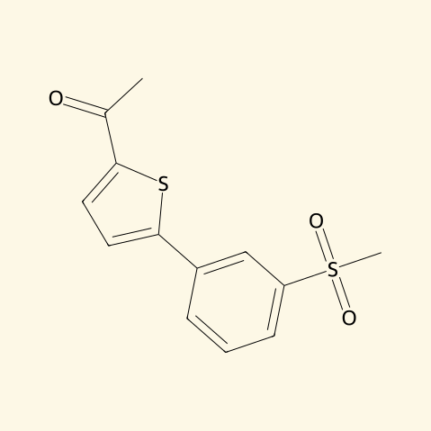 CC(=O)c1ccc(-c2cccc(S(C)(=O)=O)c2)s1